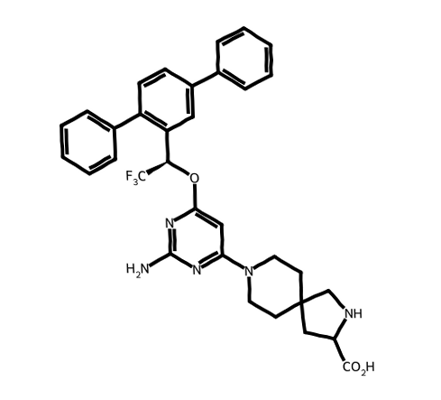 Nc1nc(O[C@H](c2cc(-c3ccccc3)ccc2-c2ccccc2)C(F)(F)F)cc(N2CCC3(CC2)CNC(C(=O)O)C3)n1